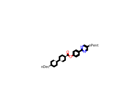 CCCCCCCCCC[C@H]1CC[C@H]([C@H]2CC[C@H](C(=O)Oc3ccc(-c4ncc(CCCCC)cn4)cc3)CC2)CC1